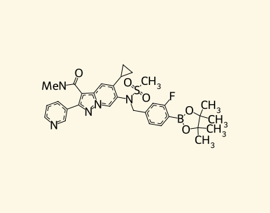 CNC(=O)c1c(-c2cccnc2)nn2cc(N(Cc3ccc(B4OC(C)(C)C(C)(C)O4)c(F)c3)S(C)(=O)=O)c(C3CC3)cc12